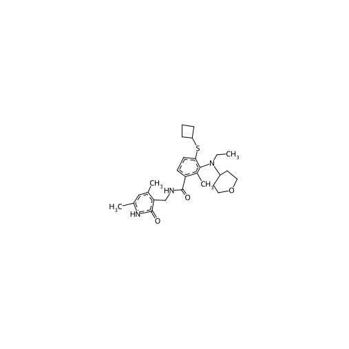 CCN(c1c(SC2CCC2)ccc(C(=O)NCc2c(C)cc(C)[nH]c2=O)c1C)C1CCOCC1